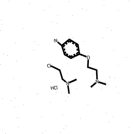 CN(C)CCCl.CN(C)CCOc1ccc([N])cc1.Cl